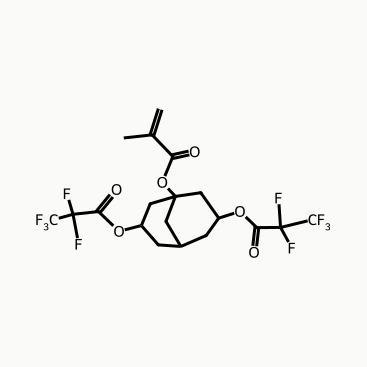 C=C(C)C(=O)OC12CC(CC(OC(=O)C(F)(F)C(F)(F)F)C1)CC(OC(=O)C(F)(F)C(F)(F)F)C2